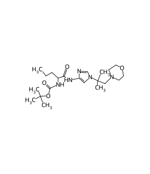 CCCC(NC(=O)OC(C)(C)C)C(=O)Nc1cn(C(C)(C)CN2CCOCC2)cn1